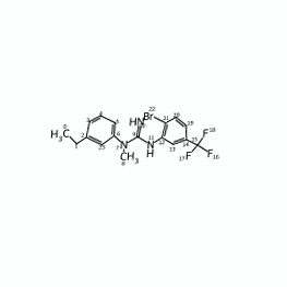 CCc1cccc(N(C)C(=N)Nc2cc(C(F)(F)F)ccc2Br)c1